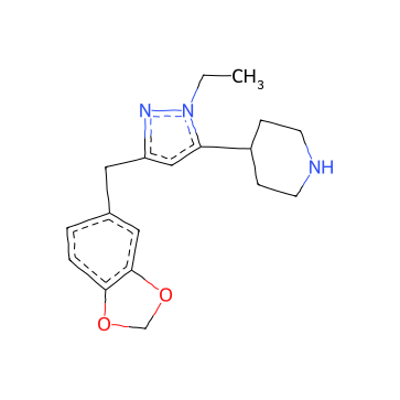 CCn1nc(Cc2ccc3c(c2)OCO3)cc1C1CCNCC1